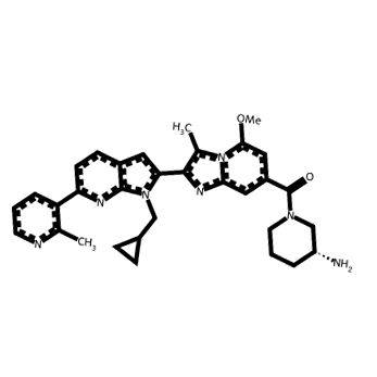 COc1cc(C(=O)N2CCC[C@@H](N)C2)cc2nc(-c3cc4ccc(-c5cccnc5C)nc4n3CC3CC3)c(C)n12